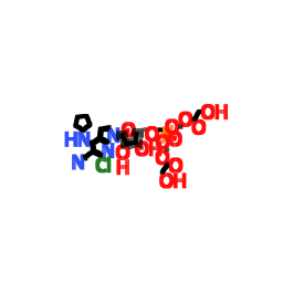 N#Cc1c(Cl)nc2c(ccn2[C@@H]2O[C@H](COCP(=O)(OCOC(=O)CO)OCOC(=O)CO)[C@@H](O)[C@H]2O)c1NC1CCCC1